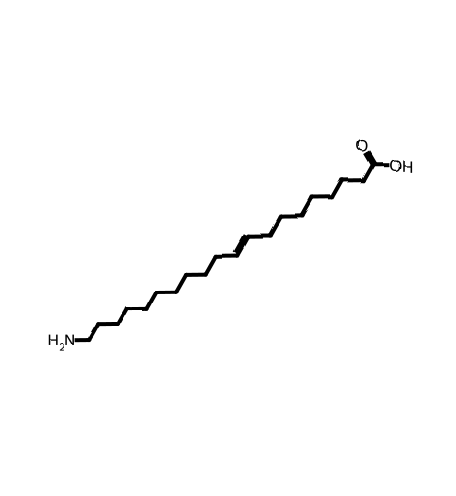 NCCCCCCCCCCC=CCCCCCCCC(=O)O